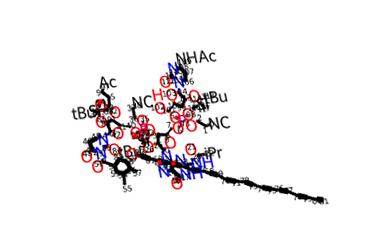 [C-]#[N+]CCOP(=O)(OC[C@H]1O[C@@H](n2cnc3c(=O)[nH]c(NC(=O)C(C)C)nc32)[C@@H](O[Si](C)(C)C(C)(C)C)C1OP(=O)(OCC[N+]#[C-])OC[C@H]1O[C@@H](n2ccc(=O)n(C(=O)c3cc(C)c(C)c(OC#CC#CC#CC#CC#CC#CC#CC#CC#CC#CC#C)c3)c2=O)[C@@H](O[Si](C)(C)C(C)(C)C)C1OC(=O)CCC(C)=O)OC1[C@@H](CO)O[C@@H](n2ccc(NC(C)=O)nc2=O)[C@H]1O[Si](C)(C)C(C)(C)C